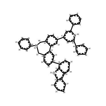 c1ccc(-c2cc(-c3ccc4c(c3)-c3cc(-c5cccc6c5oc5ccccc56)ccc3CN(c3ccccc3)C4)cc(-c3ccccc3)n2)cc1